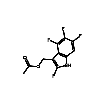 CC(=O)OCc1c(F)[nH]c2cc(F)c(F)c(F)c12